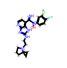 N=C(c1ccnc2nc(NCCN3CCCC34CC4)[nH]c12)N(O)c1ccc(F)c(Cl)c1